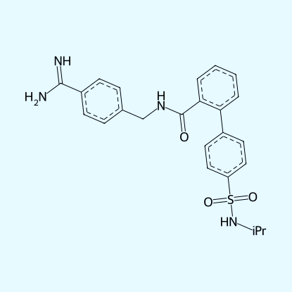 CC(C)NS(=O)(=O)c1ccc(-c2ccccc2C(=O)NCc2ccc(C(=N)N)cc2)cc1